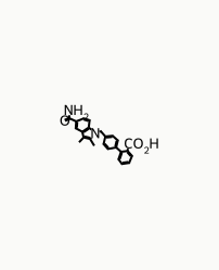 Cc1c(C)n(Cc2ccc(-c3ccccc3C(=O)O)cc2)c2ccc(C(N)=O)cc12